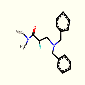 CON(C)C(=O)[C@H](F)CN(Cc1ccccc1)Cc1ccccc1